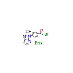 Br.Cc1nc2cccnc2n1-c1ccc(C(=O)CBr)cc1